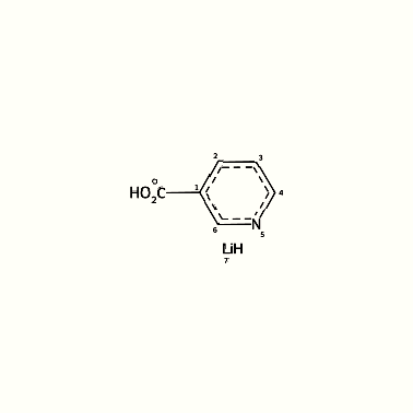 O=C(O)c1cccnc1.[LiH]